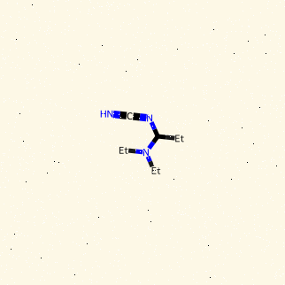 CCC(N=C=N)N(CC)CC